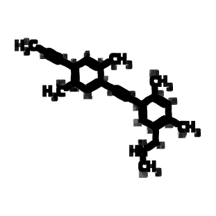 CC#Cc1cc(C)c(C#Cc2cc(CNC)c(C)cc2C)cc1C